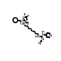 N#C/N=C(\NCCCCCCCCN(OCC1CCCCC1)S(=O)(=O)CC(F)(F)F)Nc1ccncc1